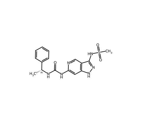 C[C@@H](NC(=O)Nc1cc2[nH]nc(NS(C)(=O)=O)c2cn1)c1ccccc1